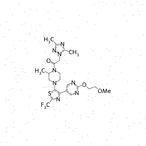 COCCOc1ncc(-c2nc(C(F)(F)F)sc2N2CCN(C(=O)Cn3nc(C)nc3C)C(C)C2)cn1